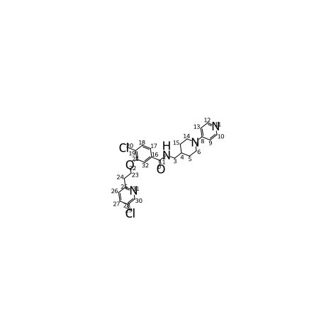 O=C(NCC1CCN(c2ccncc2)CC1)c1ccc(Cl)c(OCCc2ccc(Cl)cn2)c1